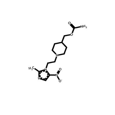 Cc1ncc([N+](=O)[O-])n1CCN1CCC(COC(N)=O)CC1